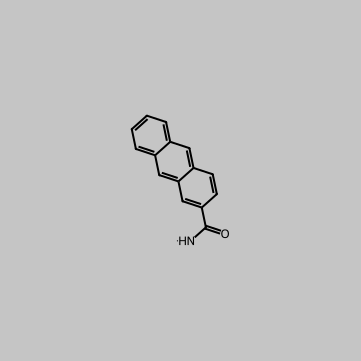 [NH]C(=O)c1ccc2cc3ccccc3cc2c1